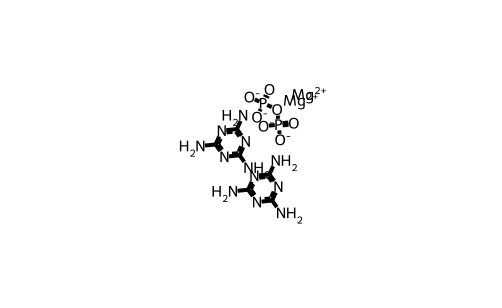 Nc1nc(N)nc(N)n1.Nc1nc(N)nc(N)n1.O=P([O-])([O-])OP(=O)([O-])[O-].[Mg+2].[Mg+2]